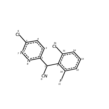 N#CC(c1ccc(Cl)nn1)c1c(F)cccc1Cl